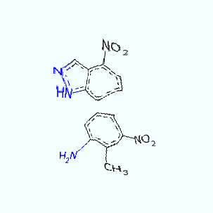 Cc1c(N)cccc1[N+](=O)[O-].O=[N+]([O-])c1cccc2[nH]ncc12